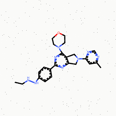 CCNNc1ccc(-c2nc3c(c(N4CCOCC4)n2)CN(c2cc(C)ncn2)C3)cc1